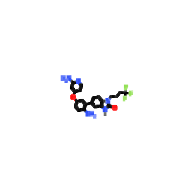 Cn1c(=O)n(CCCC(F)(F)F)c2ccc(-c3cc(Oc4ccnc(N)c4)ccc3N)cc21